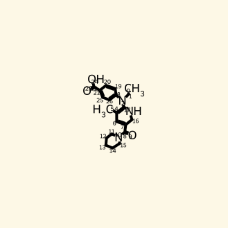 CCN(C1=C(C)C=C(C(=O)N2CCCCC2)CN1)c1ccc(C(=O)O)cc1